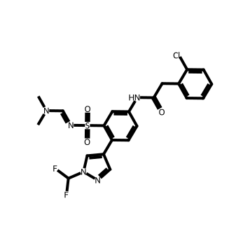 CN(C)C=NS(=O)(=O)c1cc(NC(=O)Cc2ccccc2Cl)ccc1-c1cnn(C(F)F)c1